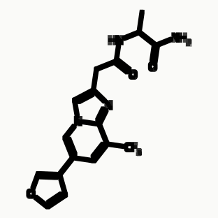 CC(NC(=O)Cc1cn2cc(-c3ccoc3)cc(C(F)(F)F)c2n1)C(N)=O